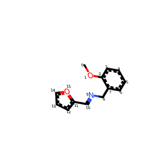 COc1ccccc1CN=Cc1ccco1